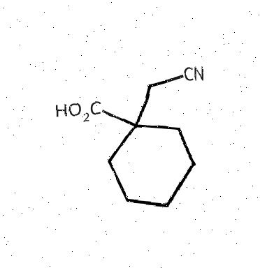 N#CCC1(C(=O)O)CCCCC1